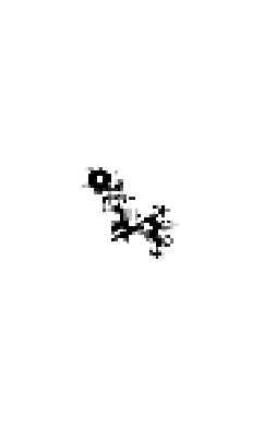 COC(=O)c1nc(-c2cscc2NC(=O)NS(=O)(=O)c2ccccc2)nc(O)c1O